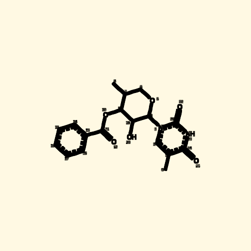 Cc1cn(C2OCC(C)C(OC(=O)c3ccccc3)C2O)c(=O)[nH]c1=O